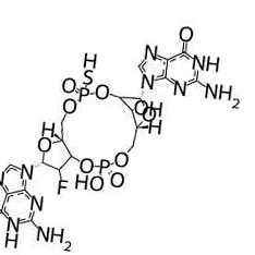 Nc1nc2c(ncn2[C@@H]2O[C@@H]3COP(=O)(S)OC4C(O)[C@@H](COP(=O)(O)OC3C2F)O[C@H]4n2cnc3c(=O)[nH]c(N)nc32)c(=O)[nH]1